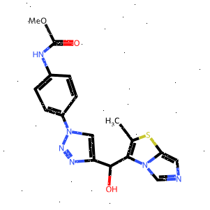 COC(=O)Nc1ccc(-n2cc(C(O)c3c(C)sc4cncn34)nn2)cc1